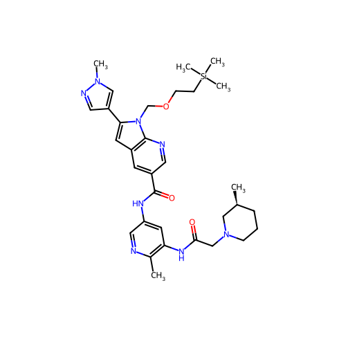 Cc1ncc(NC(=O)c2cnc3c(c2)cc(-c2cnn(C)c2)n3COCC[Si](C)(C)C)cc1NC(=O)CN1CCC[C@H](C)C1